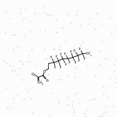 C=C(Cl)C(=O)OCCC(F)(F)C(F)(F)C(F)(F)C(F)(F)C(F)(F)C(F)(F)C(F)(F)C(F)(F)F